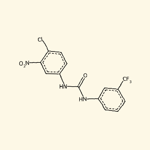 O=C(Nc1cccc(C(F)(F)F)c1)Nc1ccc(Cl)c([N+](=O)[O-])c1